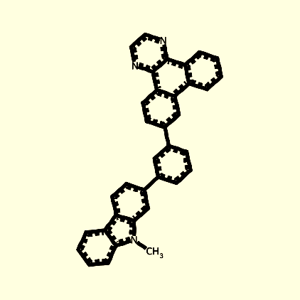 Cn1c2ccccc2c2ccc(-c3cccc(-c4ccc5c(c4)c4ccccc4c4nccnc54)c3)cc21